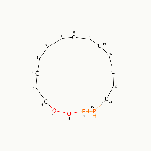 C1CCCCCCOOPPCCCCCC1